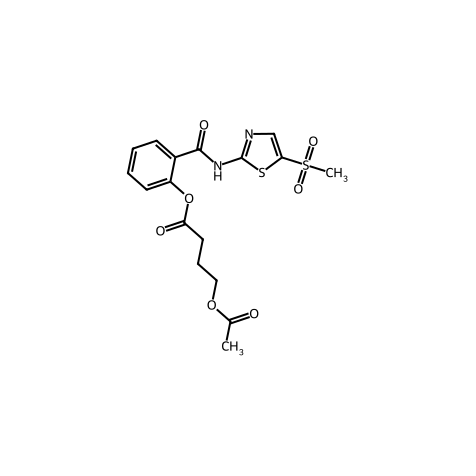 CC(=O)OCCCC(=O)Oc1ccccc1C(=O)Nc1ncc(S(C)(=O)=O)s1